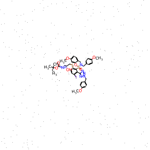 COc1ccc(CN(Cc2ccc(OC)cc2)S(=O)(=O)c2c(SC[C@H](O)CNC(=O)OC(C)(C)C)ccc(I)c2-c2nnn(Cc3ccc(OC)cc3)n2)cc1